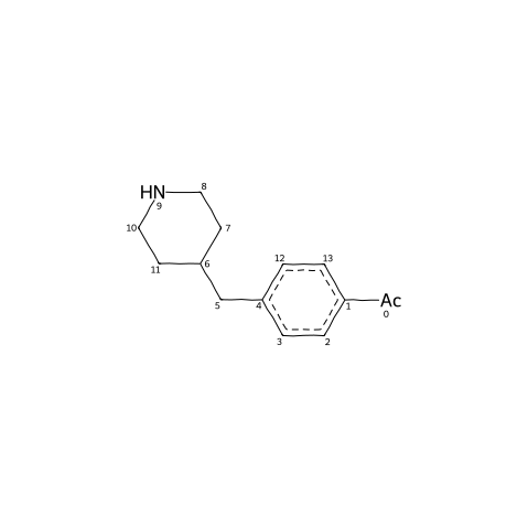 CC(=O)c1ccc(CC2CCNCC2)cc1